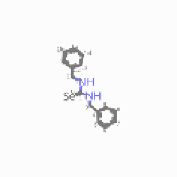 [Se]=C(NCc1ccccc1)NCc1ccccc1